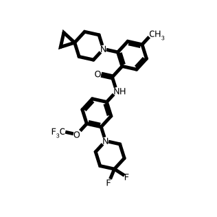 Cc1ccc(C(=O)Nc2ccc(OC(F)(F)F)c(N3CCC(F)(F)CC3)c2)c(N2CCC3(CC2)CC3)c1